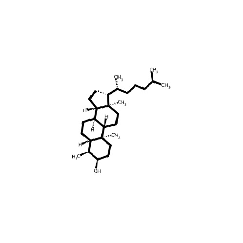 CC(C)CCC[C@@H](C)[C@H]1CC[C@H]2[C@@H]3CC[C@H]4[C@H](C)[C@H](O)CC[C@]4(C)[C@H]3CC[C@]12C